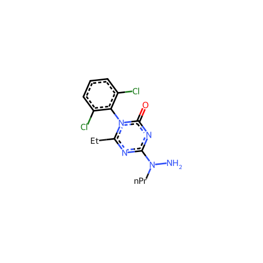 CCCN(N)c1nc(CC)n(-c2c(Cl)cccc2Cl)c(=O)n1